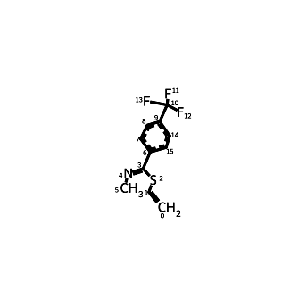 C=CSC(=NC)c1ccc(C(F)(F)F)cc1